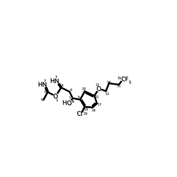 CC(=N)OC(=N)CC(O)c1cc(OCCCC(F)(F)F)ccc1Cl